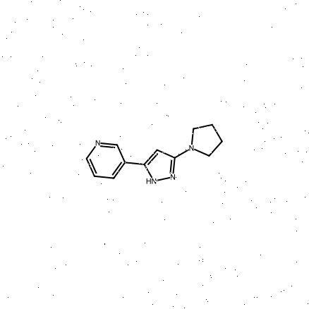 c1cncc(-c2cc(N3CCCC3)n[nH]2)c1